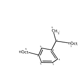 [CH2]C(CCCCCCCC)c1cc[c]c(CCCCCCCC)c1